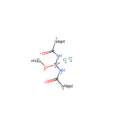 CCCCCCCC(=O)[NH][Ti+2]([NH]C(=O)CCCCCCC)[O]CCCCCC.[Cl-].[Cl-]